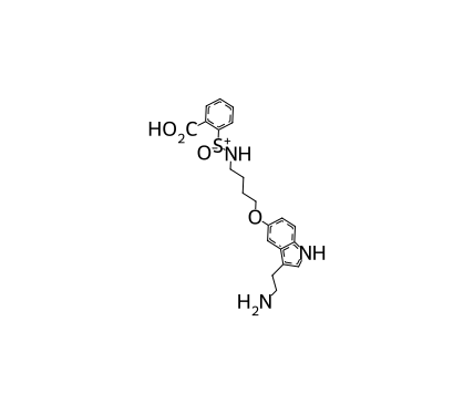 NCCc1c[nH]c2ccc(OCCCCN[S+]([O-])c3ccccc3C(=O)O)cc12